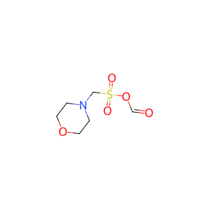 O=COS(=O)(=O)CN1CCOCC1